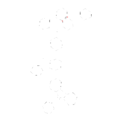 CC1(C)c2ccccc2-c2c(-c3ccc4c(c3)c3ccccc3n4-c3ccccc3)ccc(-c3ccc(N(c4ccc(-c5ccccc5)cc4)c4ccccc4-c4ccccc4)cc3)c21